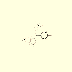 CC1(C)O[C@@H]2[C@H](O1)[C@@H](C(O[Si](C)(C)C(C)(C)C)c1ccc(F)c(F)c1)C[C@H]2N